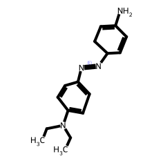 CCN(CC)c1ccc(/N=N/C2C=CC(N)=CC2)cc1